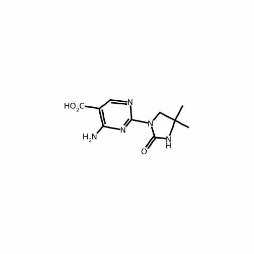 CC1(C)CN(c2ncc(C(=O)O)c(N)n2)C(=O)N1